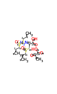 C=CCS[S+]([O-])CC=C.C=CC[S+]([O-])CC(N)C(=O)O.CC(=O)C(=O)O